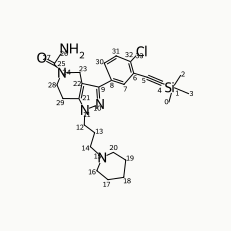 C[Si](C)(C)C#Cc1cc(-c2nn(CCCN3CCCCC3)c3c2CN(C(N)=O)CC3)ccc1Cl